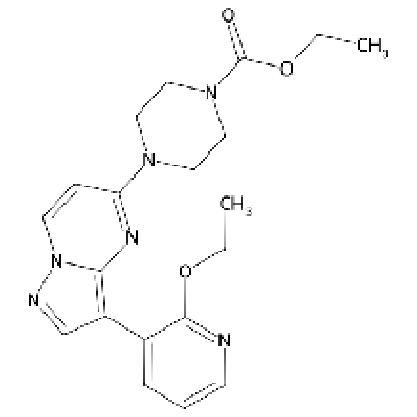 CCOC(=O)N1CCN(c2ccn3ncc(-c4cccnc4OCC)c3n2)CC1